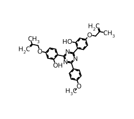 C=C(C)COc1ccc(-c2nc(-c3ccc(OC)cc3)nc(-c3ccc(OCC(=C)C)cc3O)n2)c(O)c1